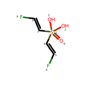 O=S(O)(O)(C=CF)C=CF